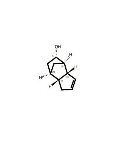 O[C@H]1C[C@H]2C[C@@H]1[C@@H]1C=CC[C@H]21